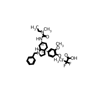 CCN(C)C(=O)N[C@@H]1CC[C@@]2(c3ccc(OC)c(OC)c3)CCN(Cc3ccccc3)[C@H]2C1.O=C(O)C(F)(F)F